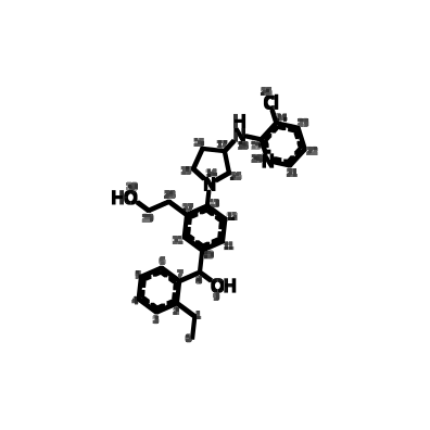 CCc1ccccc1C(O)c1ccc(N2CCC(Nc3ncccc3Cl)C2)c(CCO)c1